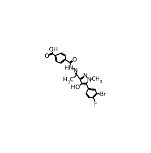 C/C(=N\NC(=O)c1ccc(C(=O)O)cc1)c1nn(C)c(-c2ccc(F)c(Br)c2)c1O